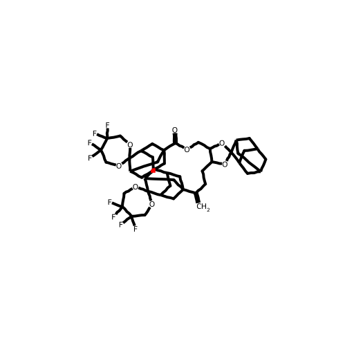 C=C(CCC1OC2(OC1COC(=O)C13CC4CC(C1)C1(OCC(F)(F)C(F)(F)CO1)C(C4)C3)C1CC3CC(C1)CC2C3)C12CC3CC(C1)C1(OCC(F)(F)C(F)(F)CO1)C(C3)C2